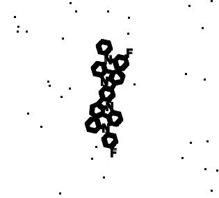 Fc1ccc(N(c2ccccc2)c2cccc3c2c2cccc4c5cc6c(cc5n3c42)c2cccc3c4c(N(c5ccccc5)c5cccc(F)c5)cccc4n6c23)cc1